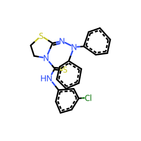 S=C(Nc1cccc(Cl)c1)N1CCS/C1=N/N(c1ccccc1)c1ccccc1